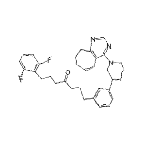 O=C(CCCc1cccc(C2CCCN(c3ncnc4c3C=CCCC4)C2)c1)CCCc1c(F)cccc1F